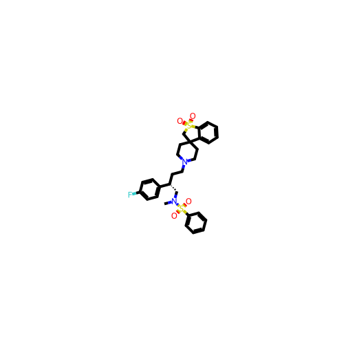 CN(C[C@@H](CCN1CCC2(CC1)CS(=O)(=O)c1ccccc12)c1ccc(F)cc1)S(=O)(=O)c1ccccc1